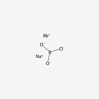 [Na+].[O-]B([O-])Cl.[Rb+]